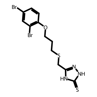 S=c1[nH]nc(CSCCCOc2ccc(Br)cc2Br)[nH]1